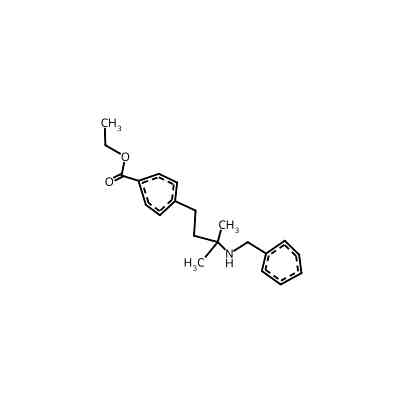 CCOC(=O)c1ccc(CCC(C)(C)NCc2ccccc2)cc1